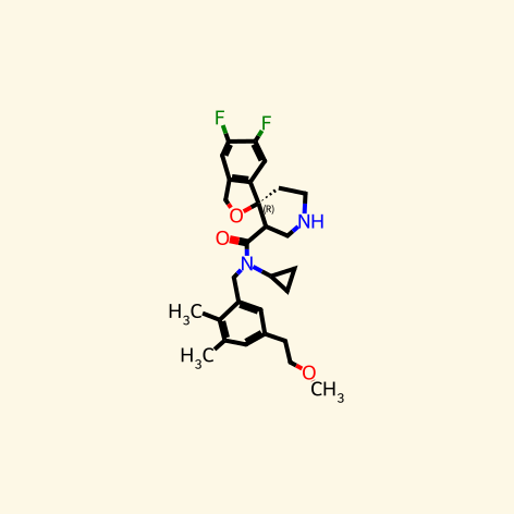 COCCc1cc(C)c(C)c(CN(C(=O)C2CNCC[C@@]23OCc2cc(F)c(F)cc23)C2CC2)c1